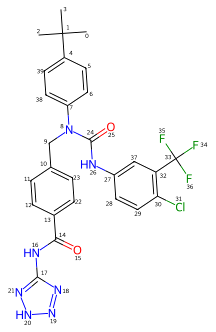 CC(C)(C)c1ccc(N(Cc2ccc(C(=O)Nc3nn[nH]n3)cc2)C(=O)Nc2ccc(Cl)c(C(F)(F)F)c2)cc1